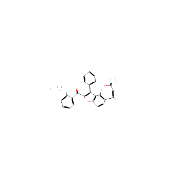 C=C1C=C(C)c2ccc3oc(C(=O)c4ccccc4OC)c(-c4ccccc4)c3c2O1